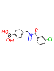 O=C(NCc1ccc(B(O)O)cc1)c1cccc(Cl)c1